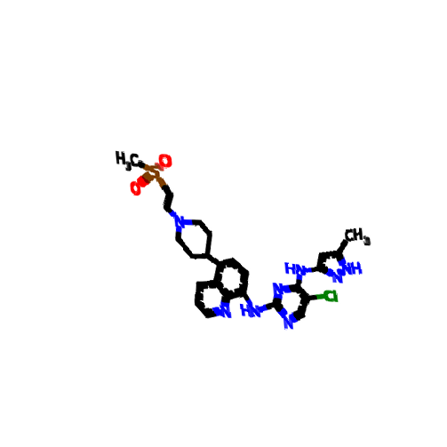 Cc1cc(Nc2nc(Nc3ccc(C4CCN(CCS(C)(=O)=O)CC4)c4cccnc34)ncc2Cl)n[nH]1